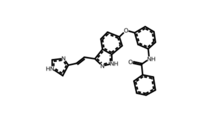 O=C(Nc1cccc(Oc2ccc3c(/C=C/c4c[nH]cn4)n[nH]c3c2)c1)c1ccccc1